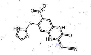 N#C/N=c1/[nH]c2cc(Sc3ncc[nH]3)c([N+](=O)[O-])cc2[nH]c1=O